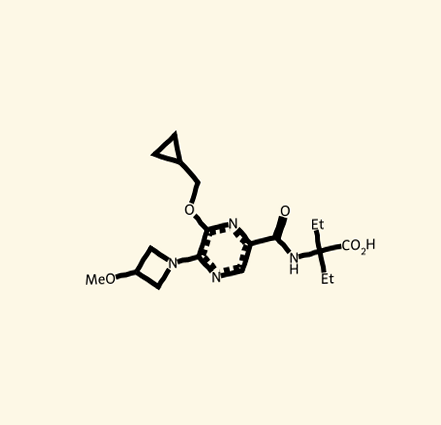 CCC(CC)(NC(=O)c1cnc(N2CC(OC)C2)c(OCC2CC2)n1)C(=O)O